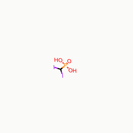 O=P(O)(O)C(I)I